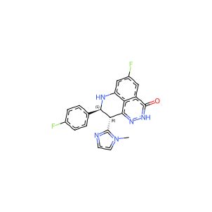 Cn1ccnc1[C@H]1c2n[nH]c(=O)c3cc(F)cc(c23)N[C@@H]1c1ccc(F)cc1